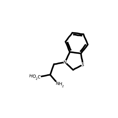 NC(CN1CSc2ccccc21)C(=O)O